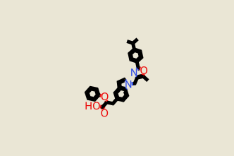 Cc1oc(-c2ccc(C(C)C)cc2)nc1Cn1ccc2cc(CC(Oc3ccccc3)C(=O)O)ccc21